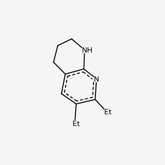 CCc1cc2c(nc1CC)NCCC2